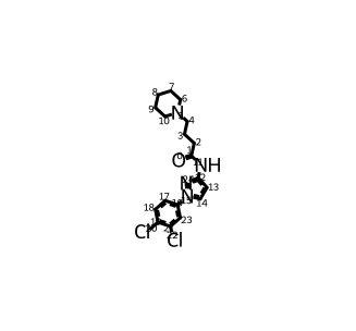 O=C(CCCN1CCCCC1)Nc1ccn(-c2ccc(Cl)c(Cl)c2)n1